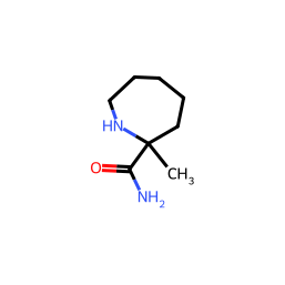 CC1(C(N)=O)CCCCCN1